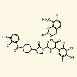 O=C(O)c1c(F)ccc2c1OB(O)[C@@H](NC(=O)C(NC(=O)N1CCN(C3CCN(C(=O)c4cccc(O)c4Cl)CC3)C1=O)c1cc(F)c(O)c(O)c1Cl)C2